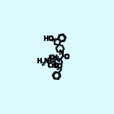 CC(C)(N)C(=O)NC(COCc1ccccc1)C(=O)N1CCC2(CC1)C[C@@H](O)c1ccccc12